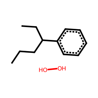 CCCC(CC)c1ccccc1.OO